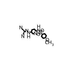 COc1ccc(S(=O)(=O)Nc2ccc(NN=C(C#N)C#N)cn2)cc1